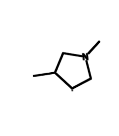 CC1[CH]CN(C)C1